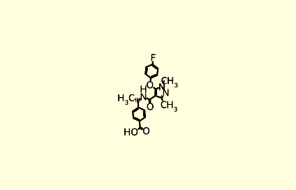 Cc1nn(C)c(Oc2ccc(F)cc2)c1C(=O)N[C@@H](C)c1ccc(C(=O)O)cc1